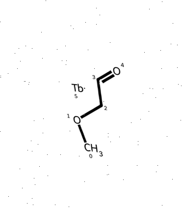 COCC=O.[Tb]